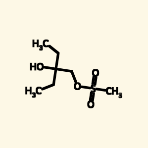 CCC(O)(CC)COS(C)(=O)=O